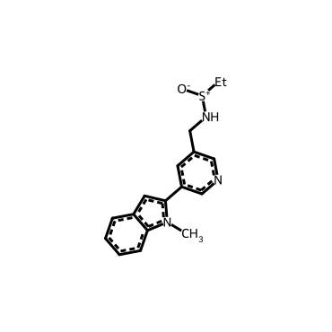 CC[S+]([O-])NCc1cncc(-c2cc3ccccc3n2C)c1